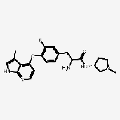 Cc1c[nH]c2nccc(Oc3ccc(CC(N)C(=O)N[C@@H]4CCN(C)C4)cc3F)c12